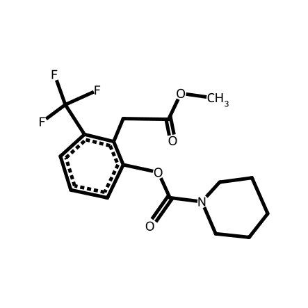 COC(=O)Cc1c(OC(=O)N2CCCCC2)cccc1C(F)(F)F